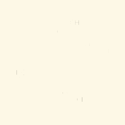 C=Cc1cc(OC)c(OC)cc1OC